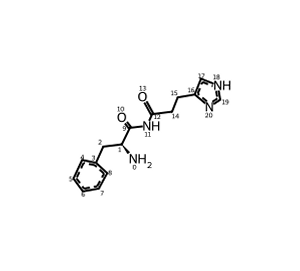 N[C@@H](Cc1ccccc1)C(=O)NC(=O)CCc1c[nH]cn1